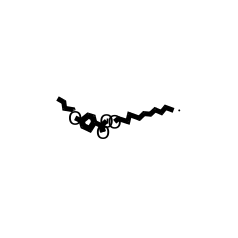 [CH2]CCCCCCCCCOOC(=O)c1ccc(OCCCC)cc1